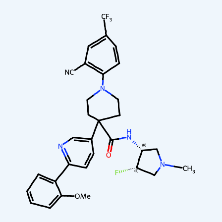 COc1ccccc1-c1ccc(C2(C(=O)N[C@@H]3CN(C)C[C@@H]3F)CCN(c3ccc(C(F)(F)F)cc3C#N)CC2)cn1